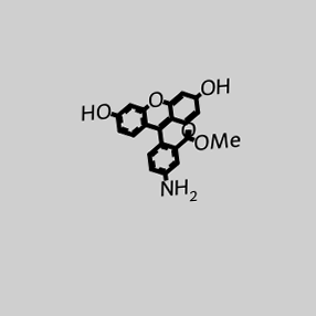 COC(=O)c1cc(N)ccc1C1=C2C=CC(O)C=C2Oc2cc(O)ccc21